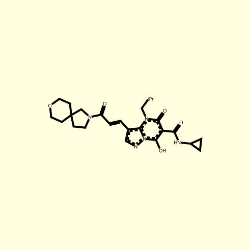 CC(C)Cn1c(=O)c(C(=O)NC2CC2)c(O)n2ncc(/C=C/C(=O)N3CCC4(CCOCC4)C3)c12